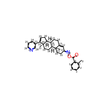 Cc1ccccc1C(=O)ON=C1C=C2CC[C@H]3[C@H](CC[C@]4(C)C(c5cccnc5)=CC[C@@H]34)[C@@]2(C)CC1